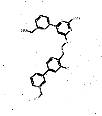 COc1nc(NCCc2ccc(-c3cccc(CO)c3)cc2Cl)cc(-c2cccc(CO)c2)n1